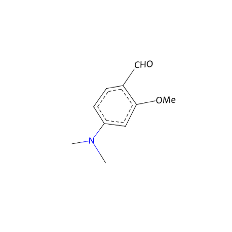 COc1cc(N(C)C)ccc1C=O